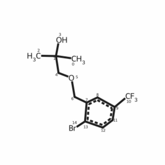 CC(C)(O)COCc1cc(C(F)(F)F)ccc1Br